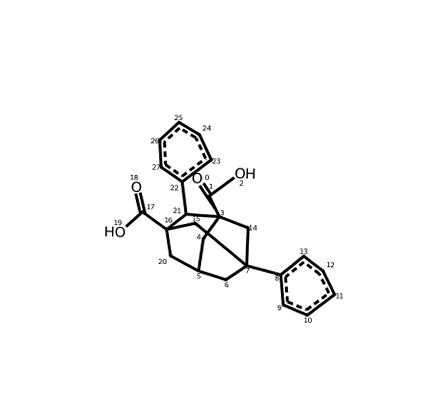 O=C(O)C12CC3CC(c4ccccc4)(C1)CC(C(=O)O)(C3)C2c1ccccc1